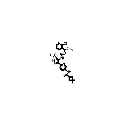 C[C@@H](OC(=O)Nc1c(-c2ccc(NC(=O)C3CC(F)(F)C3)cn2)nnn1C)c1cccnc1Cl